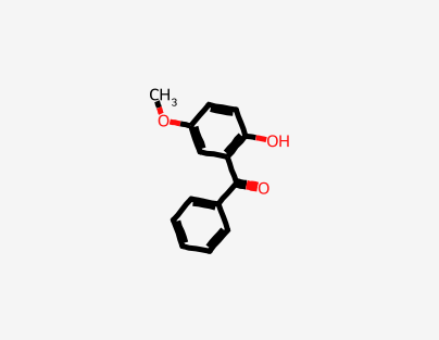 COc1ccc(O)c(C(=O)c2ccccc2)c1